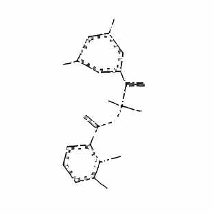 CCC(CC)(NC(=O)c1cccc(O)c1C)C(=O)c1cc(C)cc(C)c1